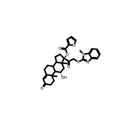 Cn1c(SCC(=O)[C@@]2(OC(=O)c3ccco3)CCC3C4CCC5=CC(=O)CCC5(C)C4[C@@H](O)CC32C)nc2ccccc21